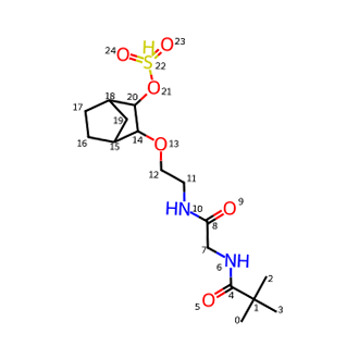 CC(C)(C)C(=O)NCC(=O)NCCOC1C2CCC(C2)C1O[SH](=O)=O